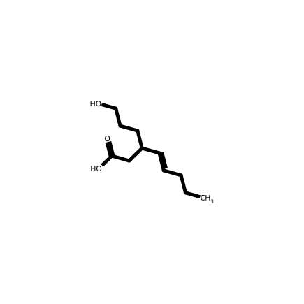 CCCC=CC(CCCO)CC(=O)O